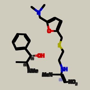 CN/C(=C/[N+](=O)[O-])NCCSCc1ccc(CN(C)C)o1.CN[C@@H](C)[C@@H](O)c1ccccc1